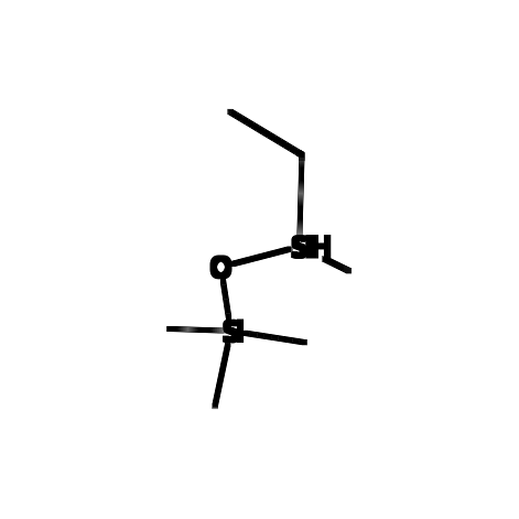 CC[SiH](C)O[Si](C)(C)C